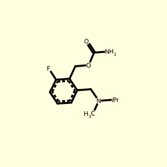 CC(C)N(C)Cc1cccc(F)c1COC(N)=O